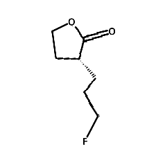 O=C1OCC[C@H]1CCCF